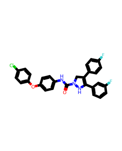 O=C(Nc1ccc(Oc2ccc(Cl)cc2)cc1)N1CC(c2ccc(F)cc2)=C(c2cccc(F)c2)N1